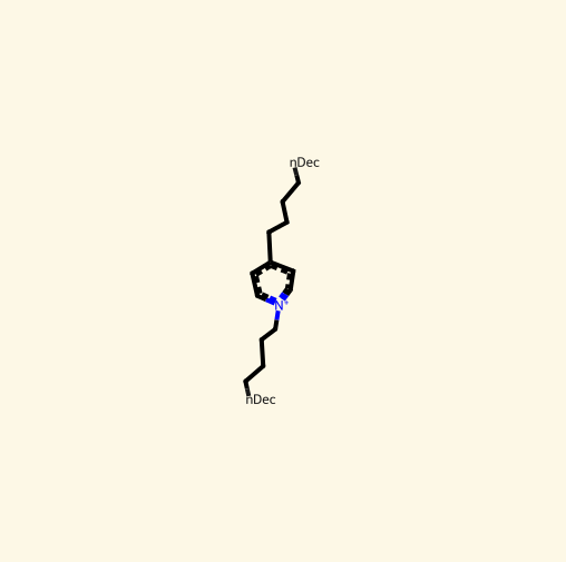 CCCCCCCCCCCCCCc1cc[n+](CCCCCCCCCCCCCC)cc1